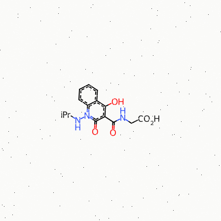 CC(C)Nn1c(=O)c(C(=O)NCC(=O)O)c(O)c2ccccc21